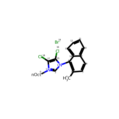 CCCCCCCC[n+]1cn(-c2c(C)ccc3ccccc23)c(Cl)c1Cl.[Br-]